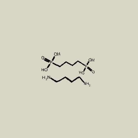 NCCCCN.O=P(O)(O)CCCCP(=O)(O)O